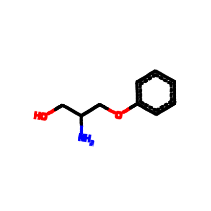 NC(CO)COc1ccccc1